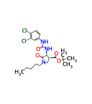 CCCCCN1C[C@H](C(=O)OC(C)(C)C)[C@H](NC(=O)Nc2ccc(Cl)c(Cl)c2)C1=O